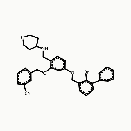 N#Cc1cccc(COc2cc(OCc3cccc(-c4ccccc4)c3Br)ccc2CNC2CCOCC2)c1